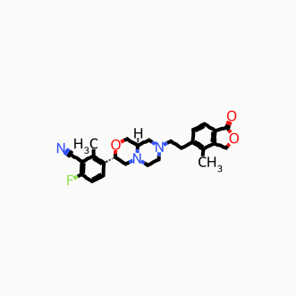 Cc1c([C@H]2CN3CCN(CCc4ccc5c(c4C)COC5=O)C[C@@H]3CO2)ccc(F)c1C#N